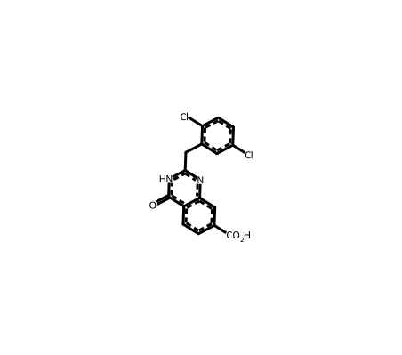 O=C(O)c1ccc2c(=O)[nH]c(Cc3cc(Cl)ccc3Cl)nc2c1